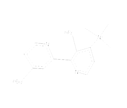 CCCCc1ccnc(-c2nccc([N+](C)(C)C)c2CCC)c1